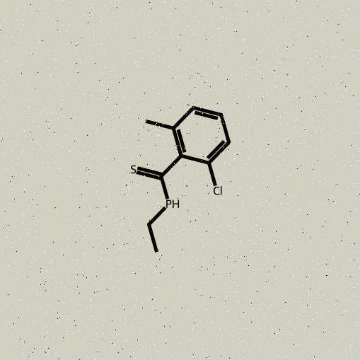 CCPC(=S)c1c(C)cccc1Cl